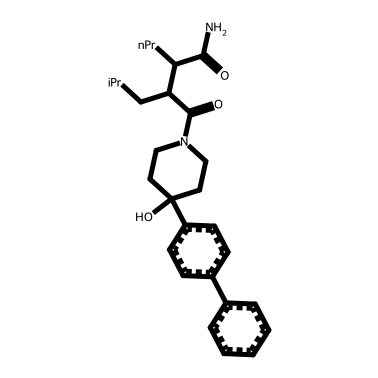 CCCC(C(N)=O)C(CC(C)C)C(=O)N1CCC(O)(c2ccc(-c3ccccc3)cc2)CC1